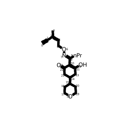 C#CC(C)=CCON=C(CCC)C1=C(O)CC(C2CCOCC2)CC1=O